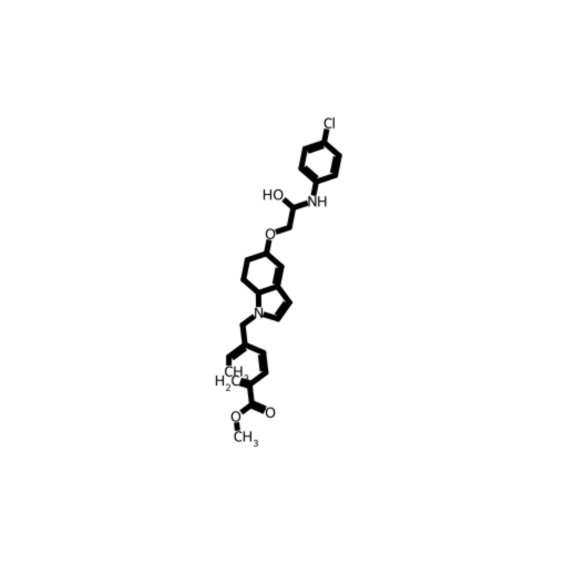 C=C(/C=C\C(=C/C)CN1C=CC2=CC(OCC(O)Nc3ccc(Cl)cc3)CCC21)C(=O)OC